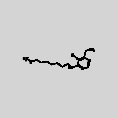 CCc1ncnc(NCCCCCCCSC)c1Cl